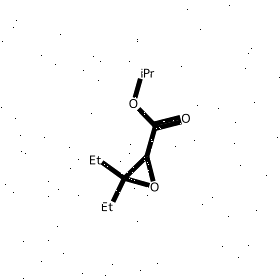 CCC1(CC)OC1C(=O)OC(C)C